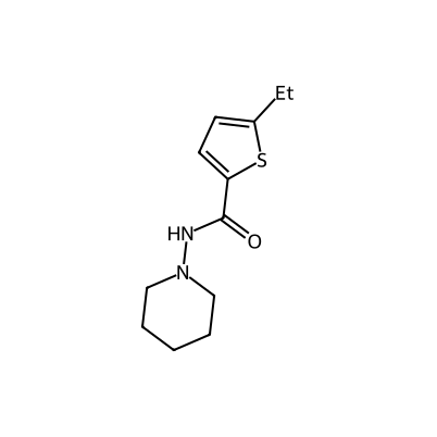 CCc1ccc(C(=O)NN2CCCCC2)s1